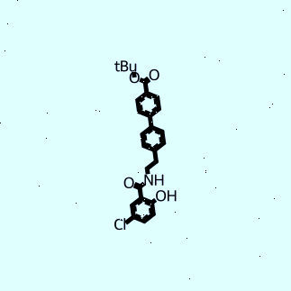 CC(C)(C)OC(=O)c1ccc(-c2ccc(CCNC(=O)c3cc(Cl)ccc3O)cc2)cc1